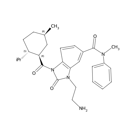 CC(C)[C@@H]1CC[C@@H](C)C[C@H]1C(=O)n1c(=O)n(CCN)c2cc(C(=O)N(C)c3ccccc3)ccc21